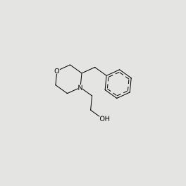 OCCN1CCOCC1Cc1ccccc1